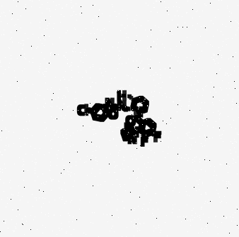 C[C@@H]1CCCN(C(=O)c2ccc(F)c(F)c2-n2nccn2)[C@@H]1CNc1nc2cc(Cl)ccc2o1